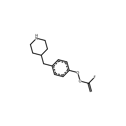 C=C(F)OOc1ccc(CC2CCNCC2)cc1